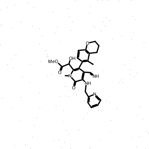 COC(=O)C(O)c1c(-c2ccc3c(c2C)CCCO3)c(C=N)c(NCc2ccccn2)c(=O)n1C